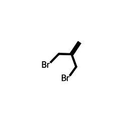 C=C(CBr)CBr